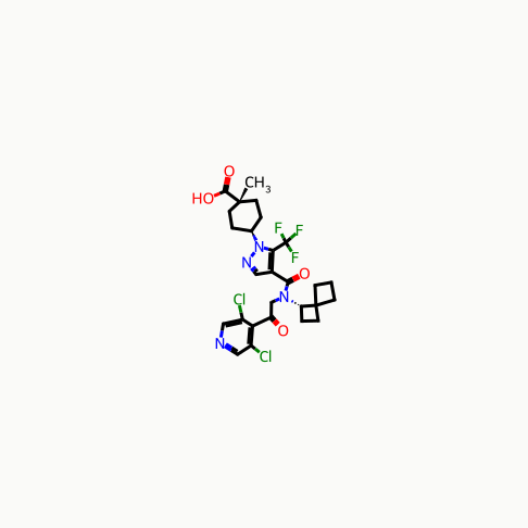 C[C@]1(C(=O)O)CC[C@H](n2ncc(C(=O)N(CC(=O)c3c(Cl)cncc3Cl)[C@H]3CCC34CCC4)c2C(F)(F)F)CC1